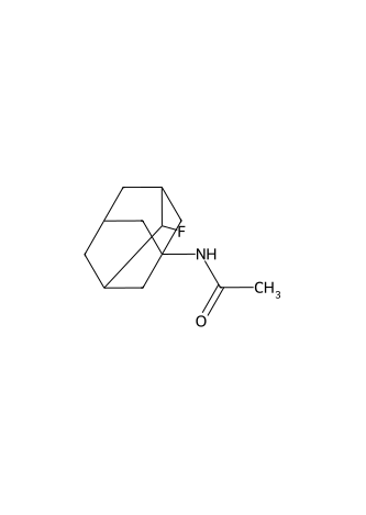 CC(=O)NC12CC3CC(C1)C(F)C(C3)C2